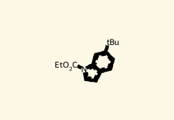 CCOC(=O)n1ccc2ccc(C(C)(C)C)cc21